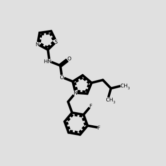 CC(C)Cc1cc(OC(=O)Nc2nccs2)n(Cc2cccc(F)c2F)c1